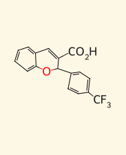 O=C(O)C1=Cc2ccccc2OC1c1ccc(C(F)(F)F)cc1